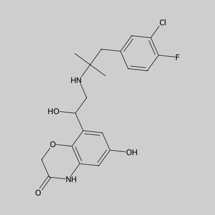 CC(C)(Cc1ccc(F)c(Cl)c1)NCC(O)c1cc(O)cc2c1OCC(=O)N2